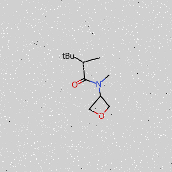 CC(C(=O)N(C)C1COC1)C(C)(C)C